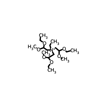 CCOC(C[N+](CC)(CC(OC)OCC)CC(OC)OCC)OC